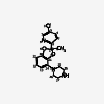 C[C@]1(c2ccc(Cl)cn2)Oc2cccc(N3CCNCC3)c2O1